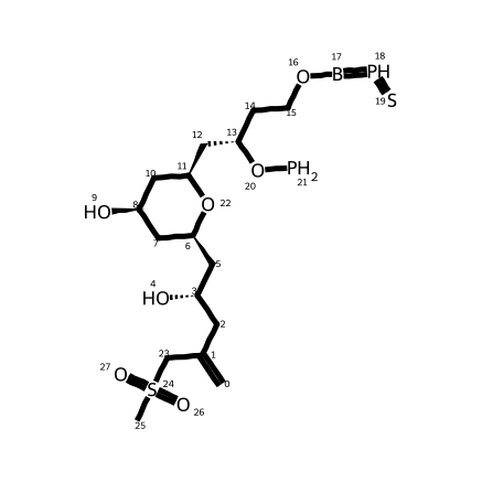 C=C(C[C@H](O)C[C@H]1C[C@@H](O)C[C@@H](C[C@H](CCOB=[PH]=S)OP)O1)CS(C)(=O)=O